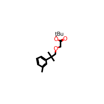 Cc1cccc(C(C)(C)COCC(=O)OC(C)(C)C)c1